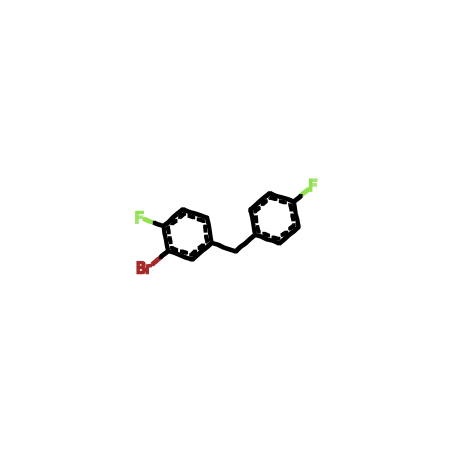 Fc1ccc(Cc2ccc(F)c(Br)c2)cc1